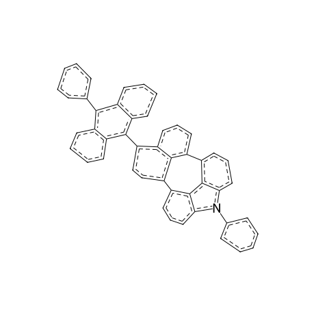 c1ccc(-c2c3ccccc3c(-c3ccc4c5c(cccc35)-c3cccc5c3c3c-4cccc3n5-c3ccccc3)c3ccccc23)cc1